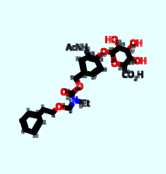 CCN(COCCc1ccccc1)C(=O)OCc1ccc(OC2OC(C(=O)O)C(O)[C@H](O)[C@@H]2O)c(NC(C)=O)c1